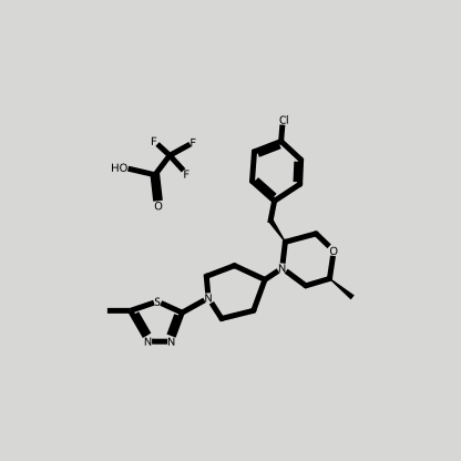 Cc1nnc(N2CCC(N3C[C@H](C)OC[C@@H]3Cc3ccc(Cl)cc3)CC2)s1.O=C(O)C(F)(F)F